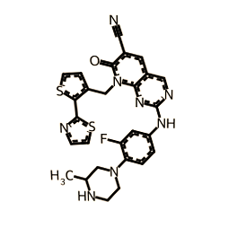 CC1CN(c2ccc(Nc3ncc4cc(C#N)c(=O)n(Cc5ccsc5-c5nccs5)c4n3)cc2F)CCN1